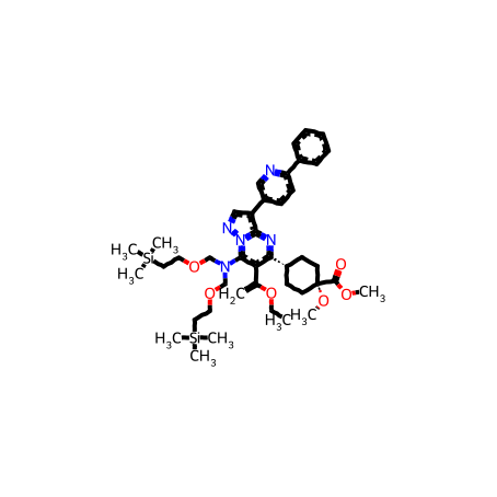 C=C(OCC)c1c(N(COCC[Si](C)(C)C)COCC[Si](C)(C)C)n2ncc(-c3ccc(-c4ccccc4)nc3)c2nc1[C@H]1CC[C@](OC)(C(=O)OC)CC1